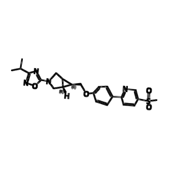 CC(C)c1noc(N2CC3[C@@H](COc4ccc(-c5ccc(S(C)(=O)=O)cn5)cc4)[C@@H]3C2)n1